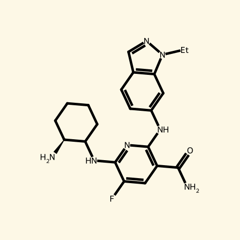 CCn1ncc2ccc(Nc3nc(NC4CCCC[C@@H]4N)c(F)cc3C(N)=O)cc21